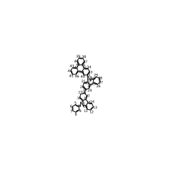 C1=c2c(n(-c3ccccc3)c3ccccc23)=CCC1c1ccc2c(c1)c1ccccc1n2-c1ccc2c3ccccc3c3ccccc3c2c1